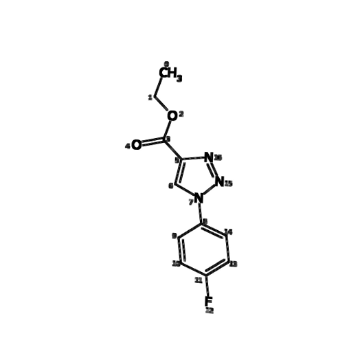 CCOC(=O)c1cn(-c2ccc(F)cc2)nn1